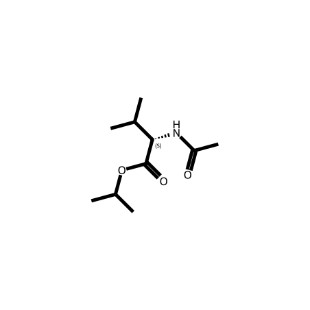 CC(=O)N[C@H](C(=O)OC(C)C)C(C)C